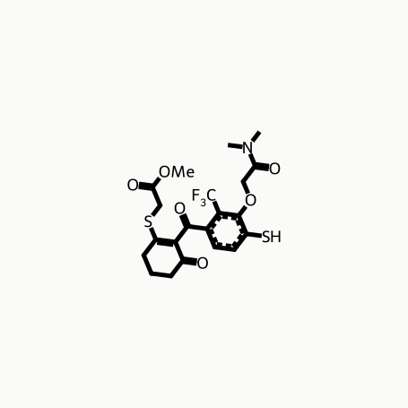 COC(=O)CSC1=C(C(=O)c2ccc(S)c(OCC(=O)N(C)C)c2C(F)(F)F)C(=O)CCC1